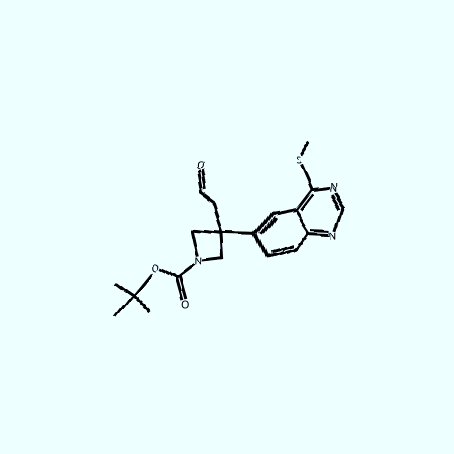 CSc1ncnc2ccc(C3(CC=O)CN(C(=O)OC(C)(C)C)C3)cc12